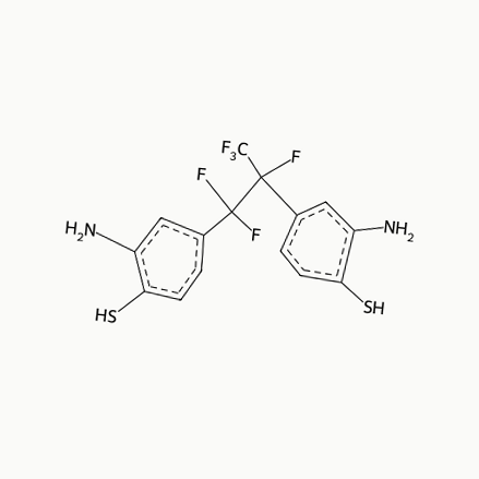 Nc1cc(C(F)(F)C(F)(c2ccc(S)c(N)c2)C(F)(F)F)ccc1S